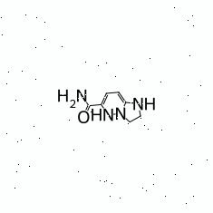 NC(=O)C1=CC=C2NCCN2N1